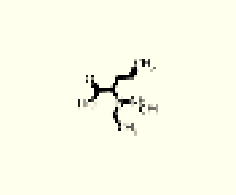 C=CCC(C(=O)O)N(N)CC.Cl